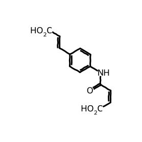 O=C(O)C=Cc1ccc(NC(=O)/C=C\C(=O)O)cc1